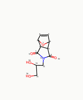 O=C1C2C3C=CC(O3)C2C(=O)N1CC(O)CO